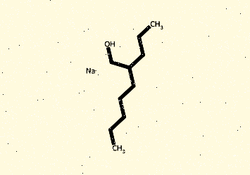 CCCCCC(CO)CCC.[Na]